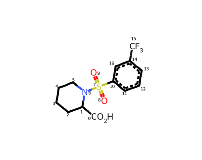 O=C(O)C1CCCCN1S(=O)(=O)c1cccc(C(F)(F)F)c1